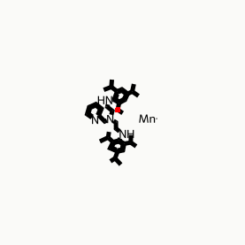 CC(C)c1cc(C(C)C)c(NCCN(CCNc2c(C(C)C)cc(C(C)C)cc2C(C)C)Cc2ccccn2)c(C(C)C)c1.[Mn]